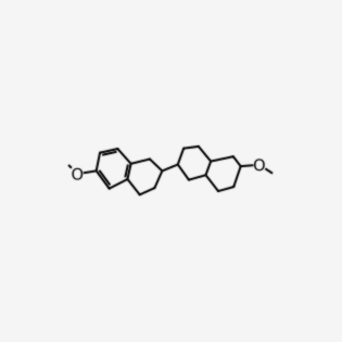 COc1ccc2c(c1)CCC(C1CCC3CC(OC)CCC3C1)C2